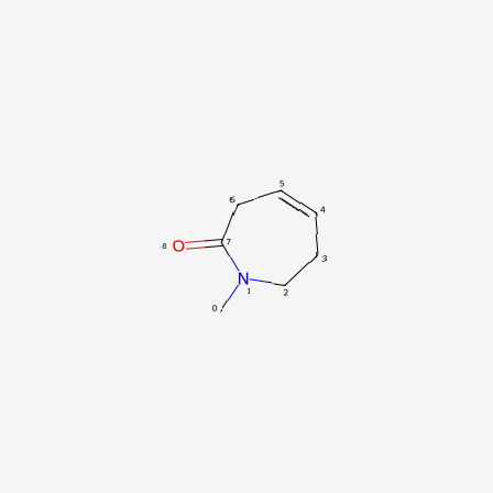 CN1CCC=CCC1=O